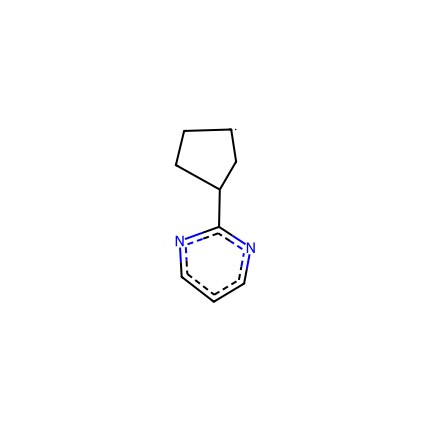 [CH]1CCC(c2ncccn2)C1